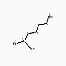 CC(C)N(CCCCC(C)(C)C)C(C)C